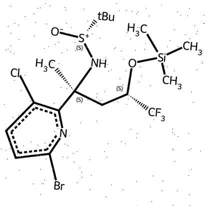 CC(C)(C)[S@@+]([O-])N[C@@](C)(C[C@H](O[Si](C)(C)C)C(F)(F)F)c1nc(Br)ccc1Cl